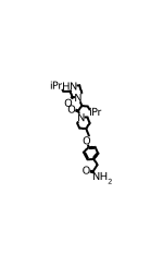 CC(C)CC1NCCN(C(CC(C)C)C(=O)N2CCC(COc3ccc(CC(N)=O)cc3)CC2)C1=O